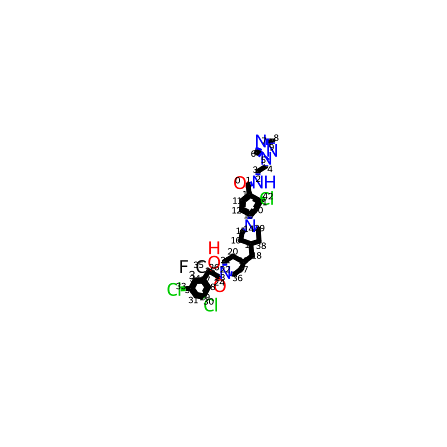 O=C(NCCn1cncn1)c1ccc(N2CCC(CC3CCN(C(=O)C(O)(c4cc(Cl)cc(Cl)c4)C(F)(F)F)CC3)CC2)cc1Cl